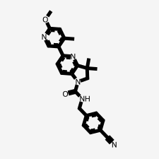 COc1cc(C)c(-c2ccc3c(n2)C(C)(C)CN3C(=O)NCc2ccc(C#N)cc2)cn1